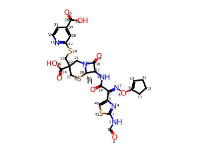 O=CNc1nc(C(=NOC2=CCCC2)C(=O)NC2C(=O)N3CC(CSc4cc(C(=O)O)ccn4)(C(=O)O)CS[C@H]23)cs1